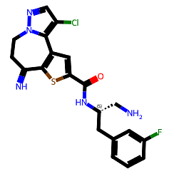 N=C1CCn2ncc(Cl)c2-c2cc(C(=O)N[C@H](CN)Cc3cccc(F)c3)sc21